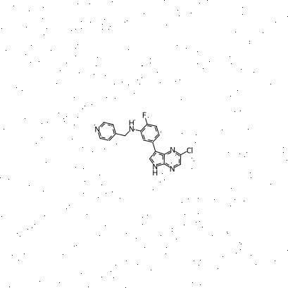 Fc1ccc(-c2c[nH]c3ncc(Cl)nc23)cc1NCc1ccncc1